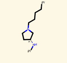 CC(C)CCCCN1CC[C@@H](NC(C)C)C1